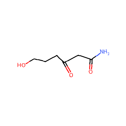 NC(=O)CC(=O)CCCO